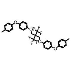 Cc1ccc(Oc2ccc(OCC(COc3ccc(Oc4ccc(C)cc4)cc3)(C(F)(F)F)C(F)(F)F)cc2)cc1